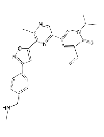 C=Cc1cc(-c2cnc(C)c(-c3cc(-c4ccc(CNC)cc4)no3)n2)cn(C(C)C)c1=O